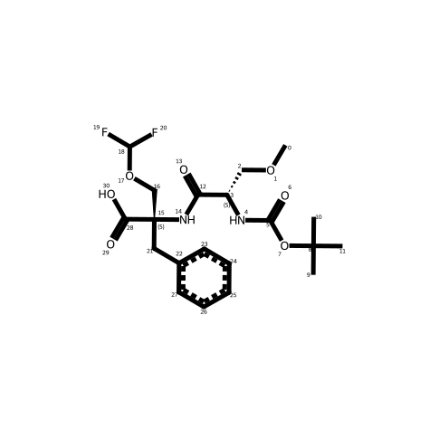 COC[C@H](NC(=O)OC(C)(C)C)C(=O)N[C@](COC(F)F)(Cc1ccccc1)C(=O)O